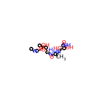 Cc1cc(C(=O)NCc2ccc(-c3cccc([C@](O)(C(=O)OCC4CCN(Cc5ccccc5)CC4)c4ccccc4)c3)s2)ccc1CNC[C@H](O)c1ccc(O)c2[nH]c(=O)ccc12